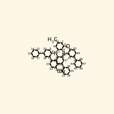 Cc1cc2c3c(c1)N(c1ccc(-c4ccccc4)cc1-c1ccc(C(C)(C)C)cc1)c1ccc(-c4ccccc4)cc1B3c1cc(-c3ccccc3)ccc1O2